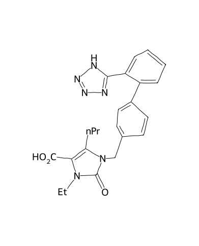 CCCc1c(C(=O)O)n(CC)c(=O)n1Cc1ccc(-c2ccccc2-c2nnn[nH]2)cc1